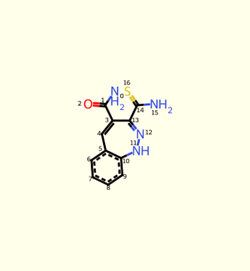 NC(=O)C1=Cc2ccccc2NN=C1C(N)=S